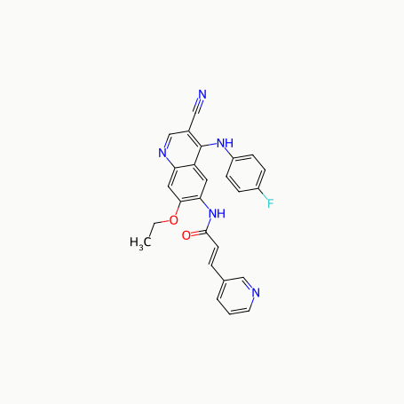 CCOc1cc2ncc(C#N)c(Nc3ccc(F)cc3)c2cc1NC(=O)/C=C/c1cccnc1